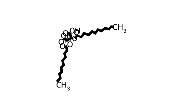 CCCCCCCCCCCC(=O)O[C@@H](C(=O)O)[C@@H](OC(=O)CCCCCCCCCCC)C(=O)O